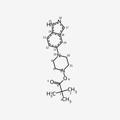 CC(C)(C)C(=O)ON1CCN(c2ccc3[nH]ncc3c2)CC1